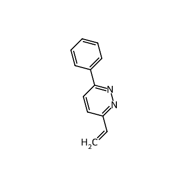 C=Cc1ccc(-c2ccccc2)nn1